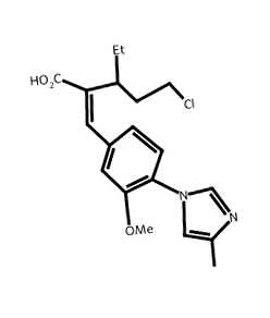 CCC(CCCl)C(=Cc1ccc(-n2cnc(C)c2)c(OC)c1)C(=O)O